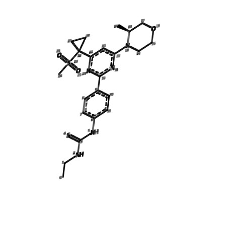 CCNC(=S)Nc1ccc(-c2nc(N3CCOC[C@@H]3C)cc(C3(S(C)(=O)=O)CC3)n2)cc1